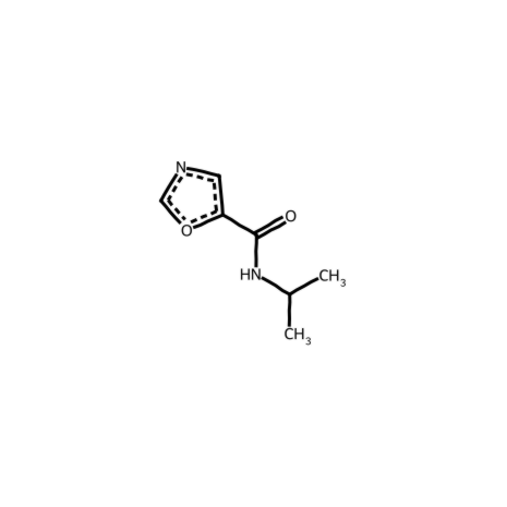 CC(C)NC(=O)c1cnco1